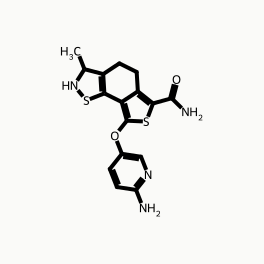 CC1NSC2=C1CCc1c(C(N)=O)sc(Oc3ccc(N)nc3)c12